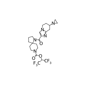 O=C(OC(C(F)(F)F)C(F)(F)F)N1CCC2(CCCN2C(=O)c2cn3c(n2)CC(N2CC2)CC3)CC1